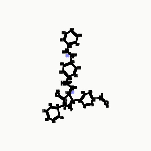 O=Nc1ccc(C2=NN(c3ccccc3)C(=O)/C2=N\Nc2ccc(/N=N/c3ccccc3)cc2)cc1